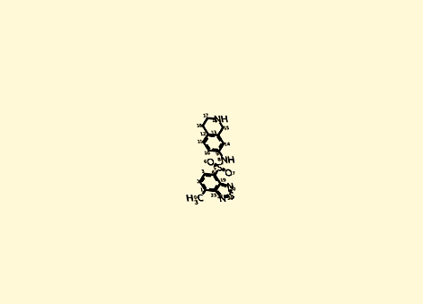 Cc1ccc(S(=O)(=O)Nc2ccc3c(c2)CNCC3)c2nsnc12